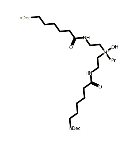 CCCCCCCCCCCCCCCC(=O)NCC[N+](O)(CCNC(=O)CCCCCCCCCCCCCCC)C(C)C